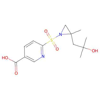 CC(C)(O)CC1(C)CN1S(=O)(=O)c1ccc(C(=O)O)cn1